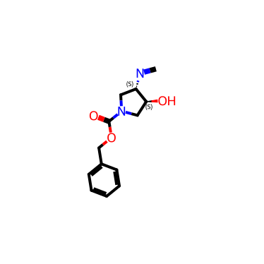 C=N[C@H]1CN(C(=O)OCc2ccccc2)C[C@@H]1O